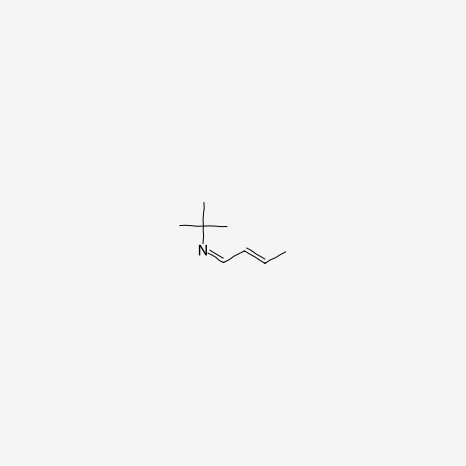 C/C=C/C=N\C(C)(C)C